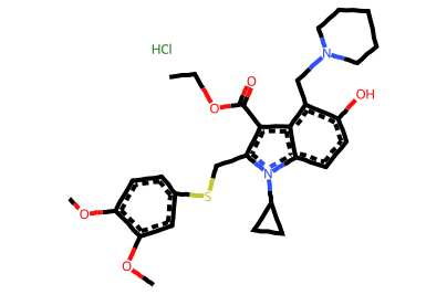 CCOC(=O)c1c(CSc2ccc(OC)c(OC)c2)n(C2CC2)c2ccc(O)c(CN3CCCCC3)c12.Cl